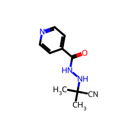 CC(C)(C#N)NNC(=O)c1ccncc1